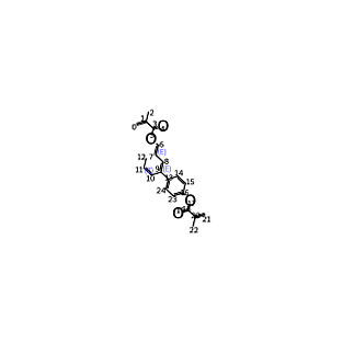 C=C(C)C(=O)O/C=C/C=C(\C=C/C)c1ccc(OC(=O)C(=C)C)cc1